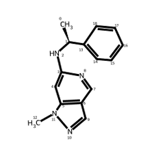 C[C@H](Nc1cc2c(cn1)cnn2C)c1ccccc1